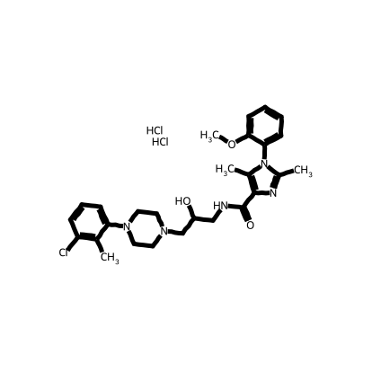 COc1ccccc1-n1c(C)nc(C(=O)NCC(O)CN2CCN(c3cccc(Cl)c3C)CC2)c1C.Cl.Cl